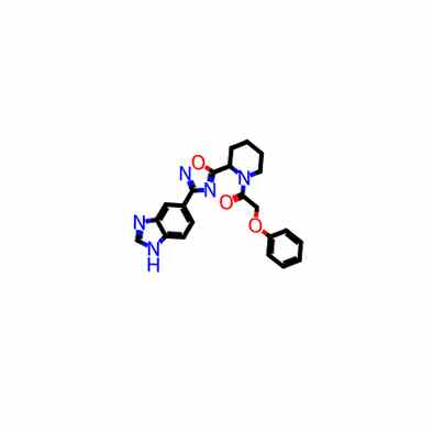 O=C(COc1ccccc1)N1CCCCC1c1nc(-c2ccc3[nH]cnc3c2)no1